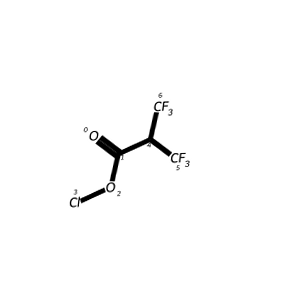 O=C(OCl)C(C(F)(F)F)C(F)(F)F